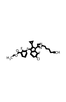 C#CCCCCC1N=CC(C2C(C3CC3)=C(Sc3cccc(C(=O)OCC)c3F)c3ccc(Cl)c(F)c32)=N1